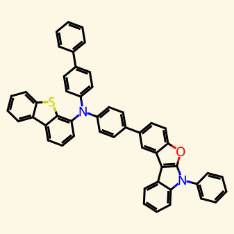 c1ccc(-c2ccc(N(c3ccc(-c4ccc5oc6c(c5c4)c4ccccc4n6-c4ccccc4)cc3)c3cccc4c3sc3ccccc34)cc2)cc1